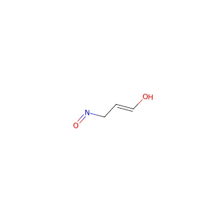 O=NCC=CO